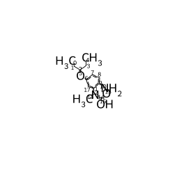 CCC(CC)Oc1ccc(N)c(N(C)C(=O)O)c1